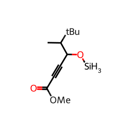 COC(=O)C#CC(O[SiH3])C(C)C(C)(C)C